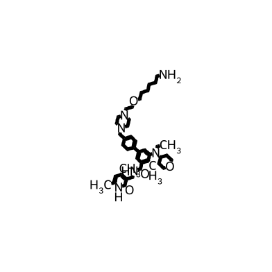 CCN(c1cc(C2=CC=C(CN3CCN(CCOCCCCCCN)CC3)CC2)cc(C(=O)NCc2c(C)cc(C)[nH]c2=O)c1C)C1CCOCC1